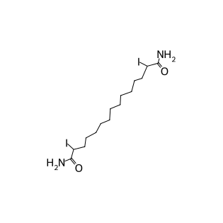 NC(=O)C(I)CCCCCCCCCCCC(I)C(N)=O